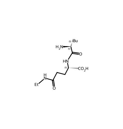 CCNC(=O)CC[C@H](NC(=O)[C@@H](N)[C@@H](C)CC)C(=O)O